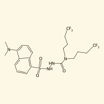 CN(C)c1cccc2c(S(=O)(=O)NNC(=O)N(CCCC(F)(F)F)CCCC(F)(F)F)cccc12